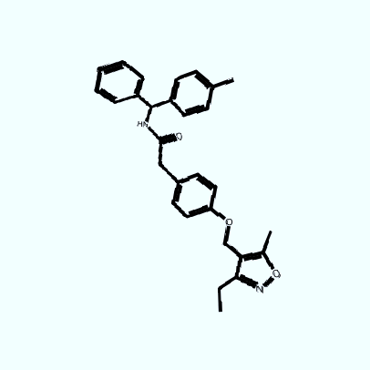 CCc1noc(C)c1COc1ccc(CC(=O)NC(c2ccccc2)c2ccc(C)cc2)cc1